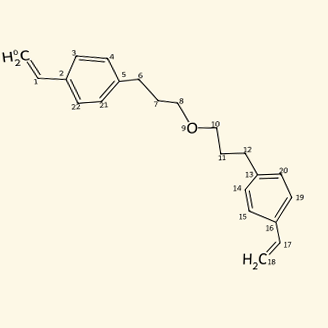 C=Cc1ccc(CCCOCCCc2ccc(C=C)cc2)cc1